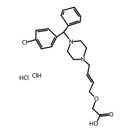 Cl.Cl.O=C(O)COC/C=C/CN1CCN(C(c2ccccc2)c2ccc(Cl)cc2)CC1